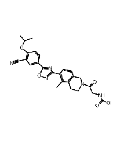 Cc1c(-c2noc(-c3ccc(OC(C)C)c(C#N)c3)n2)ccc2c1CCN(C(=O)CNC(=O)O)C2